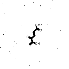 C=C(O)C(=O)C=CC(=O)OC